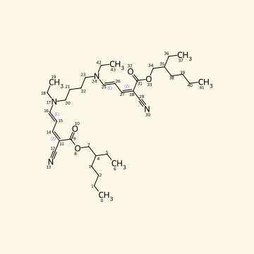 CCCCC(CC)COC(=O)/C(C#N)=C\C=C\N(CC)CCCCN(/C=C/C=C(/C#N)C(=O)OCC(CC)CCCC)CC